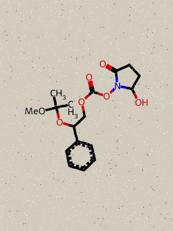 COC(C)(C)OC(COC(=O)ON1C(=O)CCC1O)c1ccccc1